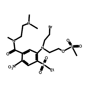 CCS(=O)(=O)c1cc([N+](=O)[O-])c(C(=O)N(C)CCN(C)C)cc1N(CCBr)CCOS(C)(=O)=O